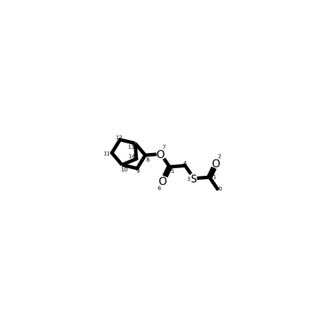 CC(=O)SCC(=O)OC1CC2CCC1C2